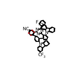 N#Cc1ccc(-c2ccc(-n3c4ccccc4c4cc(C(F)(F)F)ccc43)c(-c3cccc(-n4c5ccccc5c5cc(C(F)(F)F)ccc54)c3-c3nc(-c4ccccc4)nc(-c4ccccc4)n3)c2)cc1